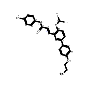 CCCOc1ccc(-c2ccc(OC(F)F)c(/C=C/C(=O)Nc3ccc(S)cc3)c2)cc1